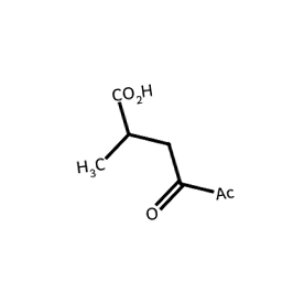 CC(=O)C(=O)CC(C)C(=O)O